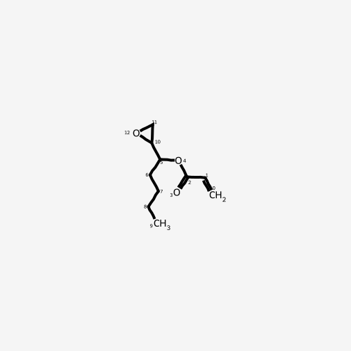 C=CC(=O)OC(CCCC)C1CO1